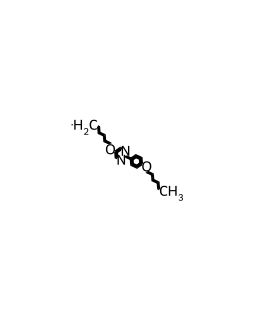 [CH2]CCCCCOc1cnc(-c2ccc(OCCCCCC)cc2)nc1